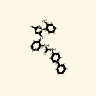 Cc1cc(Oc2ccccc2NC(=O)Nc2ccc(-c3ccccc3)cc2)n(-c2ccccc2Cl)n1